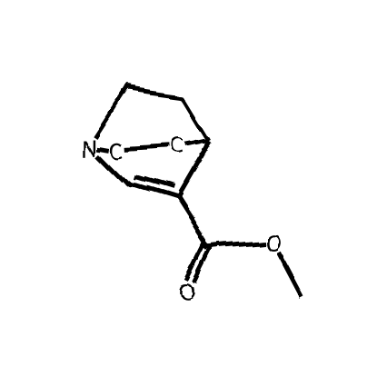 COC(=O)C1=CN2CCC1CC2